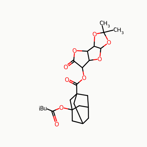 CCC(C)C(=O)OC12CC3CC(C1)CC(C(=O)OC1C(=O)OC4C5OC(C)(C)OC5OC14)(C3)C2